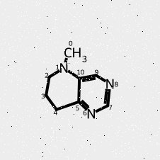 CN1CCCc2ncncc21